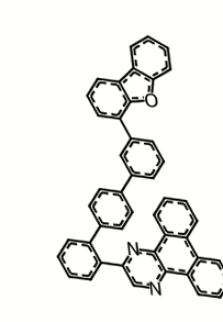 c1cc(-c2ccc(-c3ccccc3-c3cnc4c5ccccc5c5ccccc5c4n3)cc2)cc(-c2cccc3c2oc2ccccc23)c1